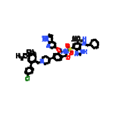 CC1(C)CCC(CN2CC=C(c3ccc(C(=O)NS(=O)(=O)c4cc([N+](=O)[O-])c(NCC5CCCCC5)c5[nH]cnc45)c(Oc4cnc5[nH]ccc5c4)c3)CC2)=C(c2ccc(Cl)cc2)C1